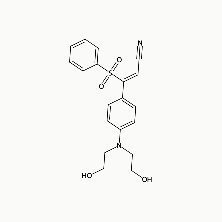 N#CC=C(c1ccc(N(CCO)CCO)cc1)S(=O)(=O)c1ccccc1